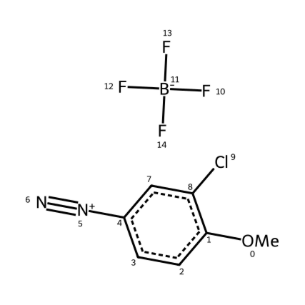 COc1ccc([N+]#N)cc1Cl.F[B-](F)(F)F